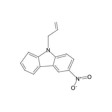 C=CCn1c2ccccc2c2cc([N+](=O)[O-])ccc21